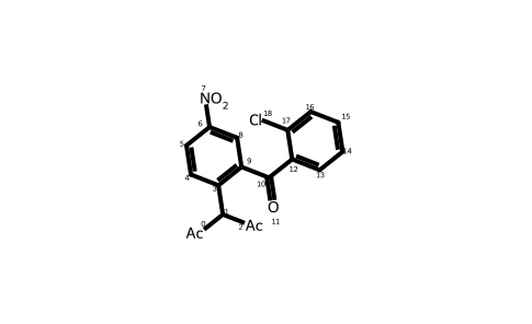 CC(=O)C(C(C)=O)c1ccc([N+](=O)[O-])cc1C(=O)c1ccccc1Cl